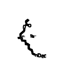 C=CC(=O)OCC[N+](C)(C)CCCCCCCCCCCCCCCCC.[Br-]